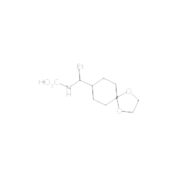 CCC(NC(=O)O)C1CCC2(CC1)OCCO2